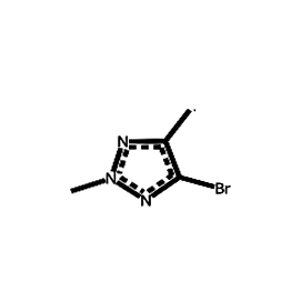 [CH2]c1nn(C)nc1Br